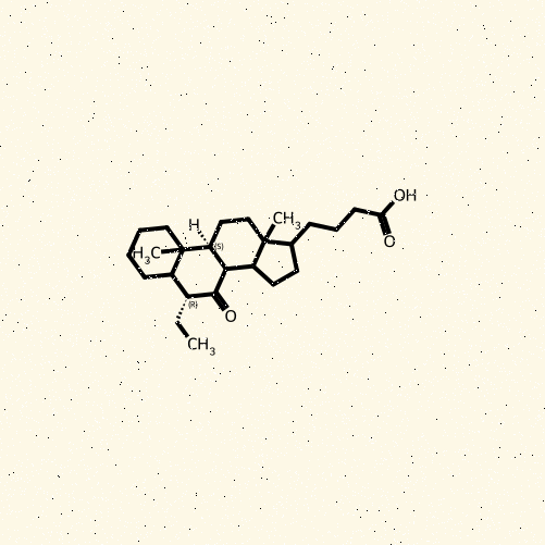 CC[C@H]1C(=O)C2C3CCC(CCCC(=O)O)C3(C)CC[C@@H]2C2(C)CCCCC12